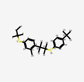 CCC(C)(C)Sc1ccc(C(C)(C)C(C)(C)Sc2ccc(C(C)(C)C)cc2)c(C)c1